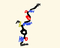 CNCCNC(=O)c1ccc(C(NCCOCC(=O)NCC#CC(C)C)SSC(C)C)cc1